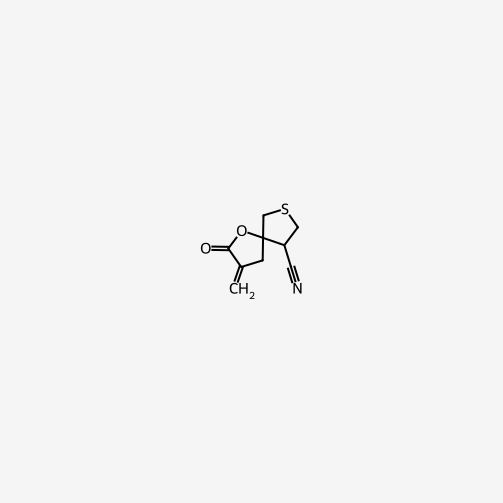 C=C1CC2(CSCC2C#N)OC1=O